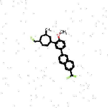 COc1ccc(-c2ccc3cc(C(F)F)ccc3c2)cc1C1CCC(CF)CC(C)C1